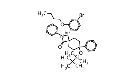 CCCCOc1cc(Br)ccc1[C@H]1N(c2ccccc2)C(=O)C12CCC(O[Si](C)(C)C(C)(C)C)(c1ccccc1)CC2